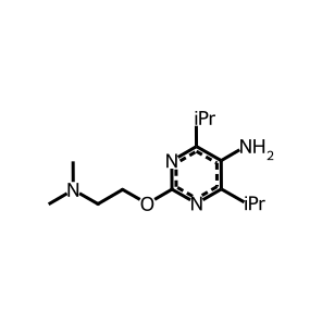 CC(C)c1nc(OCCN(C)C)nc(C(C)C)c1N